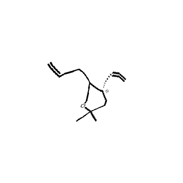 C=CCC1OC(C)(C)C[C@H]1C=C